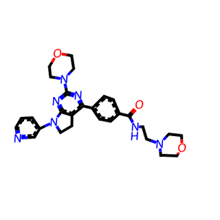 O=C(NCCN1CCOCC1)c1ccc(-c2nc(N3CCOCC3)nc3c2CCN3c2cccnc2)cc1